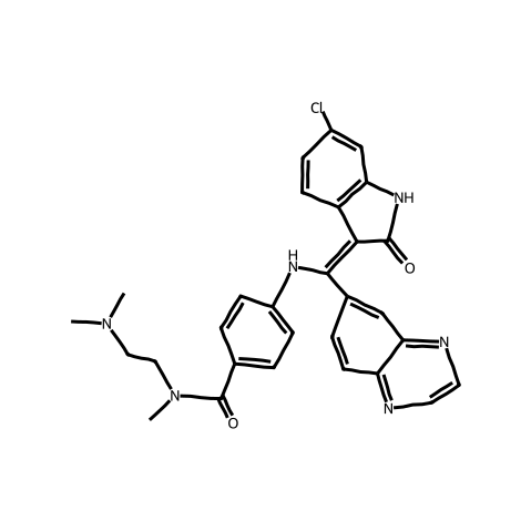 CN(C)CCN(C)C(=O)c1ccc(NC(=C2C(=O)Nc3cc(Cl)ccc32)c2ccc3nccnc3c2)cc1